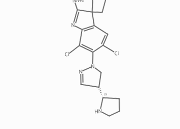 CNC1=Nc2c(cc(Cl)c(N3CC([C@@H]4CCCN4)C=N3)c2Cl)C12CCC2